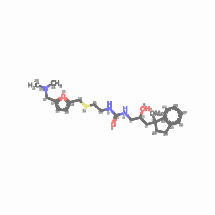 COC1(CC(O)CNC(=O)NCCSCc2ccc(CN(C)C)o2)CCc2ccccc21